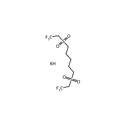 O=S(=O)(CCCCCS(=O)(=O)CC(F)(F)F)CC(F)(F)F.[KH]